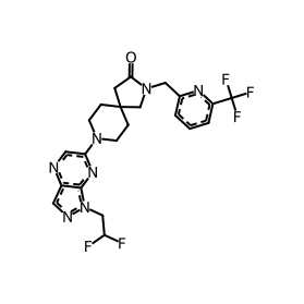 O=C1CC2(CCN(c3cnc4cnn(CC(F)F)c4n3)CC2)CN1Cc1cccc(C(F)(F)F)n1